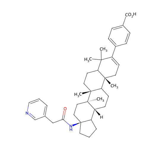 CC1(C)C(c2ccc(C(=O)O)cc2)=CC[C@@]2(C)C1CC[C@]1(C)C2CC[C@@H]2C3CCC[C@]3(NC(=O)Cc3cccnc3)CC[C@]21C